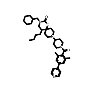 CCCCC1CN(CC2CCCCC2)C(=O)OC12CCN(C1CCN(C(=O)c3c(C)cc(-c4ccncc4)cc3C)CC1)CC2